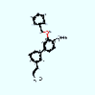 COc1ccc(-c2cccc(C=CC=O)c2)cc1OCc1ccccc1